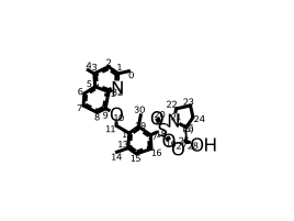 Cc1cc(C)c2cccc(OCc3c(C)ccc(S(=O)(=O)N4CCC[C@H]4C(=O)O)c3C)c2n1